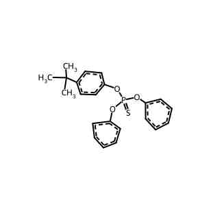 CC(C)(C)c1ccc(OP(=S)(Oc2ccccc2)Oc2ccccc2)cc1